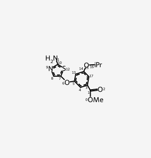 COC(=O)c1cc(Oc2cnc(N)s2)cc(OC(C)C)c1